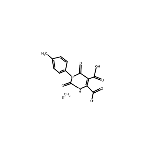 Cc1ccc(-n2c(=O)[nH]c(C(=O)[O-])c(C(=O)O)c2=O)cc1.O.[K+]